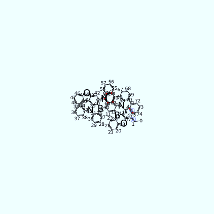 C/C=C\C=C/CN(c1cc2c(cc1B1C(C)=C(C)Oc3ccccc31)B1c3ccccc3N(c3ccccc3)c3c1c(cc1oc4ccccc4c31)N2c1ccccc1)c1c(-c2ccccc2)cccc1-c1ccccc1